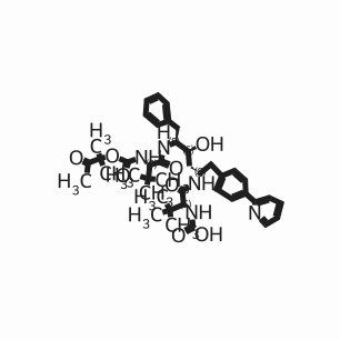 CC(=O)C(C)(C)OC(=O)N[C@H](C(=O)N[C@@H](Cc1ccccc1)[C@@H](O)C[C@H](Cc1ccc(-c2ccccn2)cc1)NC(=O)[C@@H](NC(=O)O)C(C)(C)C)C(C)(C)C